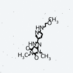 CCn1c(=O)c2[nH]c(-c3ccc(NCCOC)nc3)nc2n(CC)c1=O